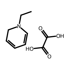 CCN1C=CC=CC1.O=C(O)C(=O)O